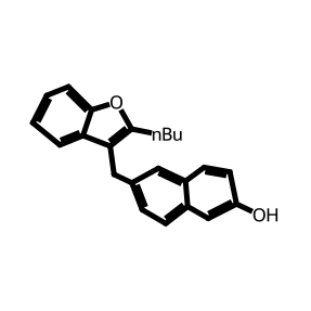 CCCCc1oc2ccccc2c1Cc1ccc2cc(O)ccc2c1